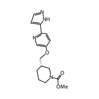 COC(=O)N1CCC[C@H](COc2ccc(-c3ccn[nH]3)nc2)C1